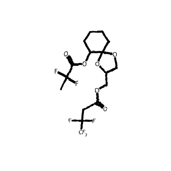 CC(F)(F)C(=O)OC1CCCCC12OCC(COC(=O)CC(F)(F)C(F)(F)F)O2